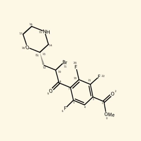 COC(=O)c1cc(F)c(C(=O)C(Br)C[C@H]2CNCCO2)c(F)c1F